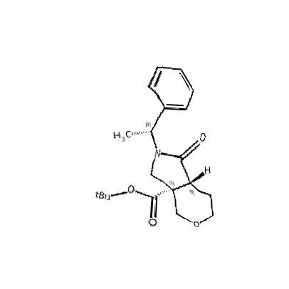 C[C@H](c1ccccc1)N1C[C@]2(C(=O)OC(C)(C)C)COCC[C@H]2C1=O